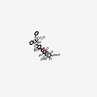 CCCCCC(C(=O)NCNC(=O)c1ccc(-c2ccc(C(=O)NC(CC(=O)O)(Cc3ccccc3)C(=O)OCc3ccccc3)c(OCC)c2)o1)[C@@H](CC)N(C=O)OC(=O)c1ccc(OC)cc1C(C)C